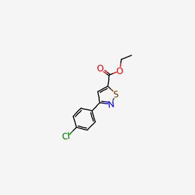 CCOC(=O)c1cc(-c2ccc(Cl)cc2)ns1